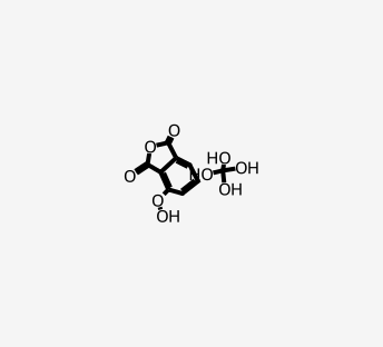 O=C1OC(=O)c2c(OO)cccc21.OC(O)(O)O